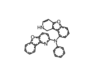 C1=Cc2oc3cccc(N(c4ccccc4)c4ccc5oc6ccccc6c5n4)c3c2CN1